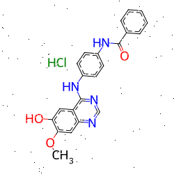 COc1cc2ncnc(Nc3ccc(NC(=O)c4ccccc4)cc3)c2cc1O.Cl